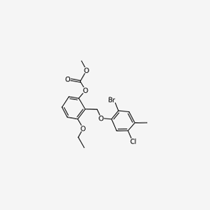 CCOc1cccc(OC(=O)OC)c1COc1cc(Cl)c(C)cc1Br